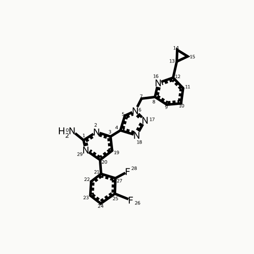 Nc1nc(-c2cn(Cc3cccc(C4CC4)n3)nn2)cc(-c2cccc(F)c2F)n1